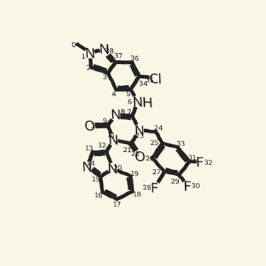 Cn1cc2cc(Nc3nc(=O)n(-c4cnc5ccccn45)c(=O)n3Cc3cc(F)c(F)c(F)c3)c(Cl)cc2n1